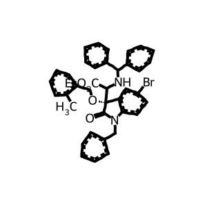 CCOC(=O)C(NC(c1ccccc1)c1ccccc1)[C@]1(OCc2ccccc2C)C(=O)N(Cc2ccccc2)c2ccc(Br)cc21